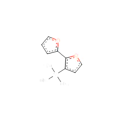 CCC[CH2][Sn]([CH2]CCC)([CH2]CCC)[c]1ccoc1-c1ccco1